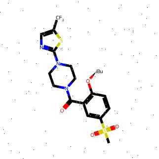 CC[C@H](C)Oc1ccc(S(C)(=O)=O)cc1C(=O)N1CCN(c2ncc(C(F)(F)F)s2)CC1